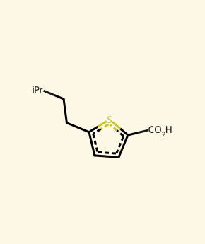 CC(C)CCc1ccc(C(=O)O)s1